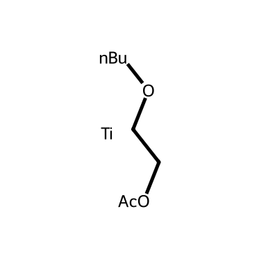 CCCCOCCOC(C)=O.[Ti]